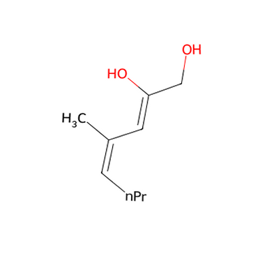 CCCC=C(C)C=C(O)CO